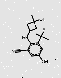 CC1(O)CC(Nc2c(C#N)cc(O)cc2C(F)(F)F)C1